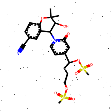 CC1(C)Oc2ccc(C#N)cc2C(n2ccc(C(CCCOS(C)(=O)=O)OS(C)(=O)=O)cc2=O)C1O